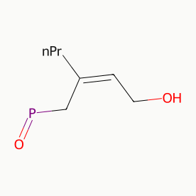 CCC/C(=C/CO)CP=O